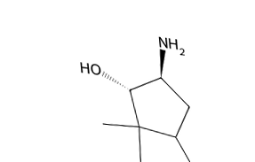 CC1C[C@H](N)[C@@H](O)C1(C)C